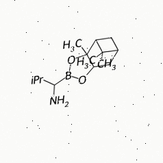 CC(C)C(N)B1OC2CC3CC(C3(C)C)C2(C)O1